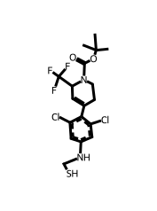 CC(C)(C)OC(=O)N1CCC(c2c(Cl)cc(NCS)cc2Cl)=CC1C(F)(F)F